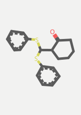 O=C1CCCCC1C(Sc1ccccc1)Sc1ccccc1